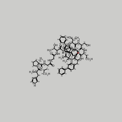 C[C@@H](O)[C@H](NC(=O)CNC(=O)[C@H](CCC(=O)O)NC(=O)[C@]1(C)CCCN1C(=O)C(N)Cc1c[nH]cn1)C(=O)NC(C)(Cc1ccccc1F)C(=O)N[C@H](C(=O)N[C@@H](CO)C(=O)N[C@@H](CC(=O)O)C(=O)N[C@@H](Cc1ccc(-c2ccccc2)cc1)C(=O)NC(C)(Cc1ccc(-c2ccccc2)cc1)C(N)=O)[C@@H](C)O